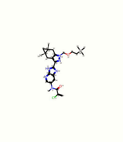 C=C(Cl)C(=O)N(C)c1cnc2[nH]c(-c3nn(COCC[Si](C)(C)C)c4c3C[C@@H]3C[C@]3(C)C4)nc2c1